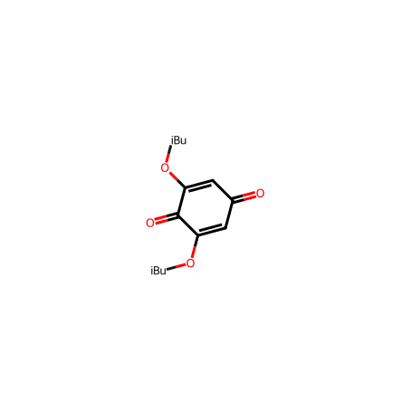 CCC(C)OC1=CC(=O)C=C(OC(C)CC)C1=O